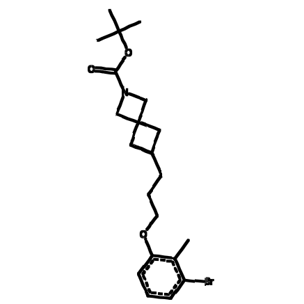 Cc1c(Br)cccc1OCCCC1CC2(C1)CN(C(=O)OC(C)(C)C)C2